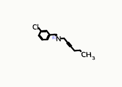 CCCC#CC/N=C/c1cccc(Cl)c1